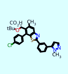 Cc1cc2nc(-c3cccc(-c4ccnn4C)c3)sc2c(-c2ccc(Cl)cc2)c1[C@H](OC(C)(C)C)C(=O)O